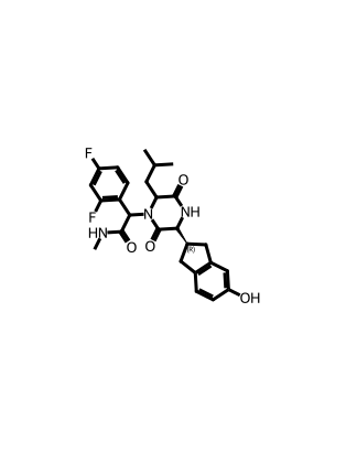 CNC(=O)C(c1ccc(F)cc1F)N1C(=O)C([C@@H]2Cc3ccc(O)cc3C2)NC(=O)C1CC(C)C